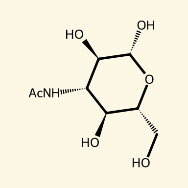 CC(=O)N[C@@H]1[C@@H](O)[C@H](O)O[C@H](CO)[C@H]1O